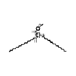 CCCCCCCCCCCCCCCCCCNc1nc(NCCCCCCCCCCCCCCCCCC)nc(Nc2ccc(OCC)cc2)n1